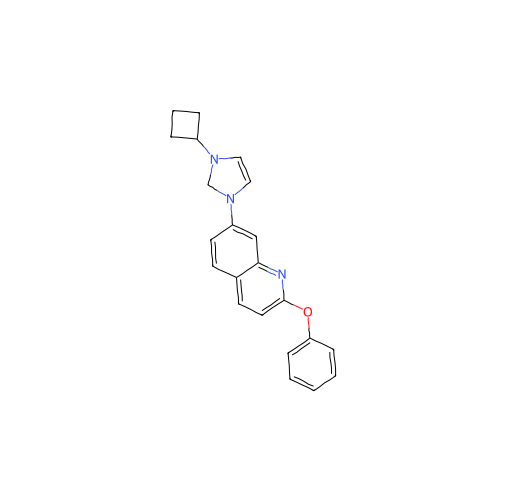 C1=CN(C2CCC2)CN1c1ccc2ccc(Oc3ccccc3)nc2c1